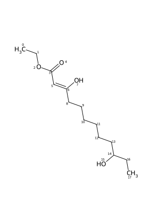 CCOC(=O)C=C(O)CCCCCCC(O)CC